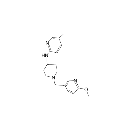 COc1ccc(CN2CCC(Nc3ccc(C)cn3)CC2)cn1